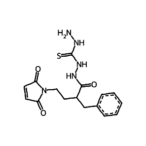 NNC(=S)NNC(=O)C(CCN1C(=O)C=CC1=O)Cc1ccccc1